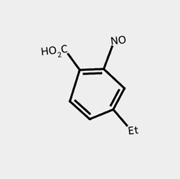 CCc1ccc(C(=O)O)c(N=O)c1